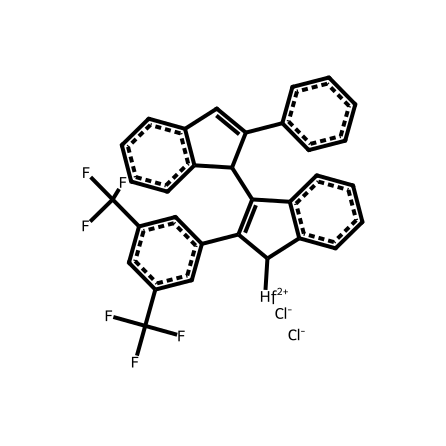 FC(F)(F)c1cc(C2=C(C3C(c4ccccc4)=Cc4ccccc43)c3ccccc3[CH]2[Hf+2])cc(C(F)(F)F)c1.[Cl-].[Cl-]